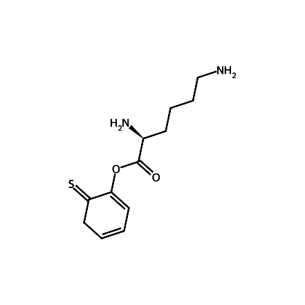 NCCCC[C@H](N)C(=O)OC1=CC=CCC1=S